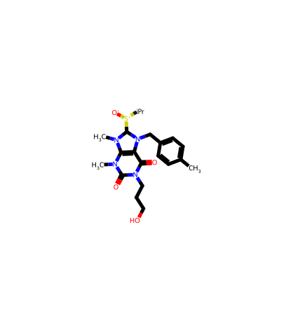 Cc1ccc(CN2c3c(n(C)c(=O)n(CCCO)c3=O)N(C)C2[S+]([O-])C(C)C)cc1